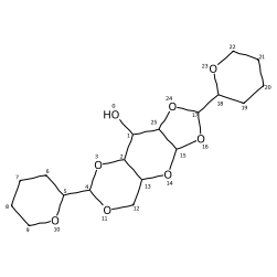 OC1C2OC(C3CCCCO3)OCC2OC2OC(C3CCCCO3)OC21